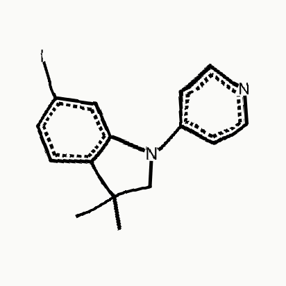 CC1(C)CN(c2ccncc2)c2cc(I)ccc21